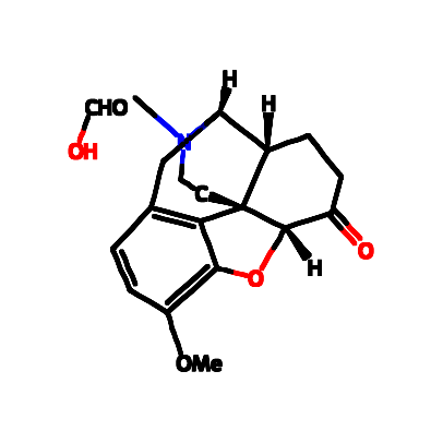 COc1ccc2c3c1O[C@H]1C(=O)CC[C@H]4[C@@H](C2)N(C)CC[C@]314.O=CO